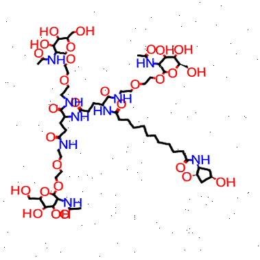 CO[C@H]1C[C@H](O)C[C@@H]1NC(=O)CCCCCCCCCCC(=O)NC(CCC(=O)NC(CCC(=O)NCCOCCOC1OC(CO)C(O)C(O)C1NC(C)=O)C(=O)NCCOCCOC1OC(CO)C(O)C(O)C1NC(C)=O)C(=O)NCCOCCOC1O[C@H](CO)C(O)C(O)C1NC(C)=O